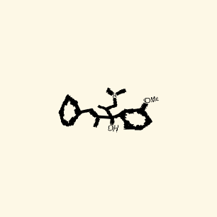 COc1cccc(C(O)(C(C)=Cc2ccccc2)C(C)CN(C)C)c1